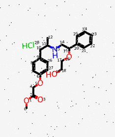 COC(=O)COc1ccc(CC(C)NCC(OCCO)c2ccccc2)cc1.Cl